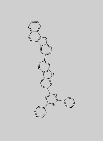 c1ccc(-c2nc(-c3ccccc3)nc(-c3ccc4c(c3)oc3cc(-c5ccc6sc7c8ccccc8ccc7c6c5)ccc34)n2)cc1